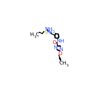 CC#CCOc1cnc(C(=O)Nc2cccc(C/N=C(/N)SCCCC)c2)cn1